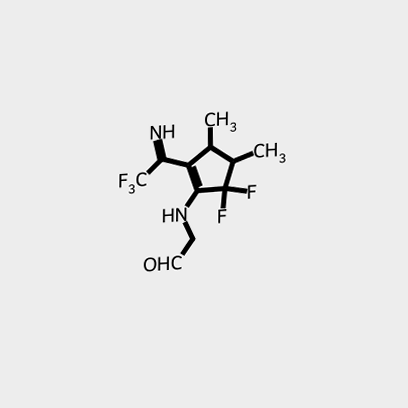 CC1C(C(=N)C(F)(F)F)=C(NCC=O)C(F)(F)C1C